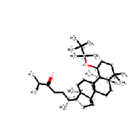 CC(C)C(=O)CC[C@@H](C)[C@H]1CC=C2C3=C(CC[C@@]21C)[C@@]1(C)C(O[Si](C)(C)C(C)(C)C)CCC(C)(C)[C@@H]1CC3